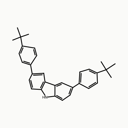 CC(C)(C)c1ccc(-c2ccc3[nH]c4ccc(-c5ccc(C(C)(C)C)cc5)cc4c3c2)cc1